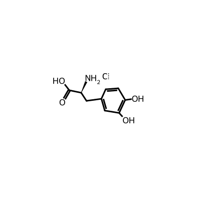 N[C@@H](Cc1ccc(O)c(O)c1)C(=O)O.[C]